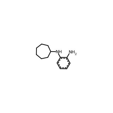 Nc1ccccc1NC1CCCCCC1